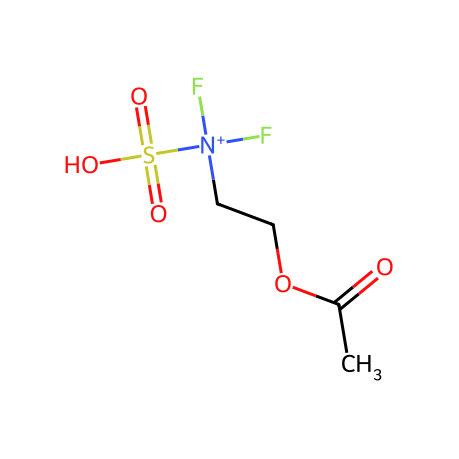 CC(=O)OCC[N+](F)(F)S(=O)(=O)O